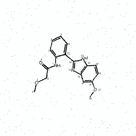 COCC(=O)Nc1ccccc1-c1nc2cc(OC)ccc2[nH]1